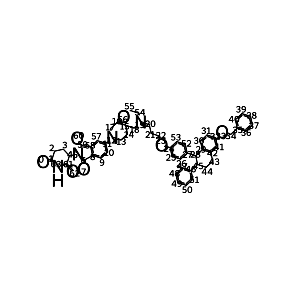 O=C1CCC(N2C(=O)c3ccc(N4CCC5(CC4)CN(CCCOc4ccc(C6c7ccc(OCc8ccccc8)cc7CCC6c6ccccc6)cc4)CCO5)cc3C2=O)C(=O)N1